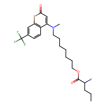 CCCC(I)C(=O)OCCCCCCCN(C)c1cc(=O)sc2cc(C(F)(F)F)ccc12